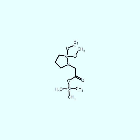 CO[Si]1(OC)CCCN1CC(=O)O[Si](C)(C)C